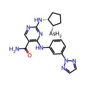 NC(=O)c1cnc(N[C@@H]2CCC[C@@H]2[AsH2])nc1Nc1cccc(-n2nccn2)c1